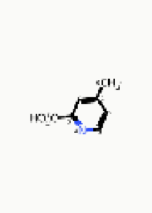 [CH2]c1ccnc(C(=O)O)c1